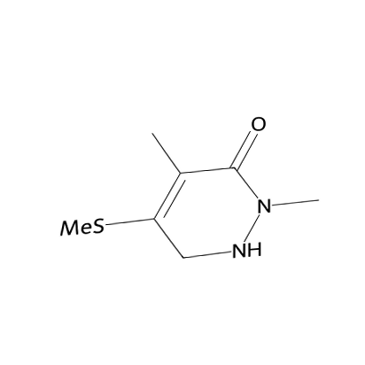 CSC1=C(C)C(=O)N(C)NC1